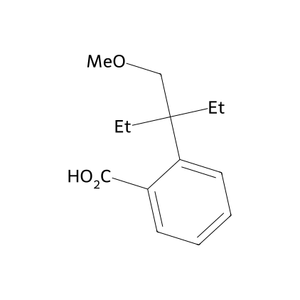 CCC(CC)(COC)c1ccccc1C(=O)O